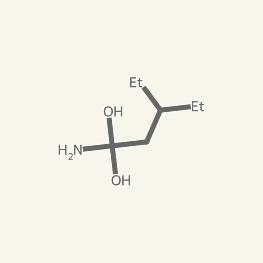 CCC(CC)CC(N)(O)O